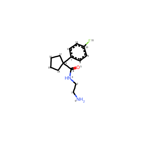 NCCNC(=O)C1(c2ccc(F)cc2)CCCC1